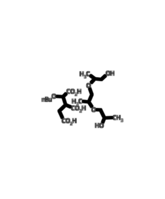 CC(O)COC(C)COC(C)CO.CCCCOC(C(=O)O)C(CC(=O)O)C(=O)O